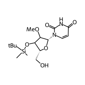 COC1C(O[Si](C)(C)C(C)(C)C)[C@@H](CO)O[C@H]1n1ccc(=O)[nH]c1=O